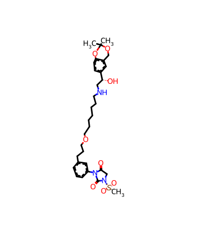 CC1(C)OCc2cc([C@H](O)CNCCCCCCCOCCCc3cccc(N4C(=O)CN(S(C)(=O)=O)C4=O)c3)ccc2O1